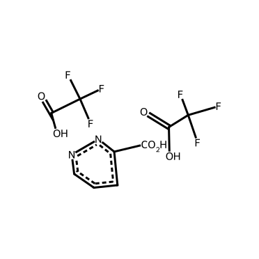 O=C(O)C(F)(F)F.O=C(O)C(F)(F)F.O=C(O)c1cccnn1